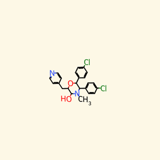 CN1C(O)C(Cc2ccncc2)OC(c2ccc(Cl)cc2)C1c1ccc(Cl)cc1